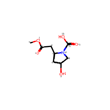 COC(=O)CC1CC(O)CN1C(=O)O